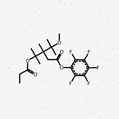 CCC(=O)OC(C)(C)C(C)(CC(=O)Oc1c(F)c(F)c(F)c(F)c1F)C(C)(C)OC